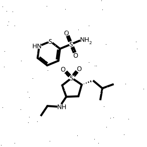 CCNC1C[C@@H](CC(C)C)S(=O)(=O)C1.NS(=O)(=O)C1=CC=CNS1